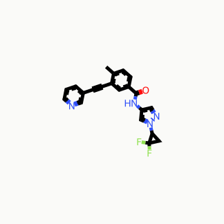 Cc1ccc(C(=O)Nc2cnn(C3CC3(F)F)c2)cc1C#Cc1cccnc1